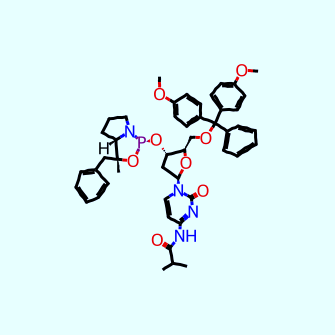 COc1ccc(C(OC[C@H]2O[C@@H](n3ccc(NC(=O)C(C)C)nc3=O)C[C@@H]2O[P@@]2O[C@](C)(Cc3ccccc3)[C@@H]3CCCN32)(c2ccccc2)c2ccc(OC)cc2)cc1